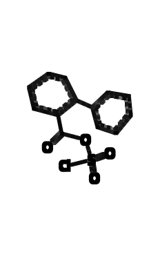 O=C(OS(=O)(=O)Cl)c1ccccc1-c1ccccc1